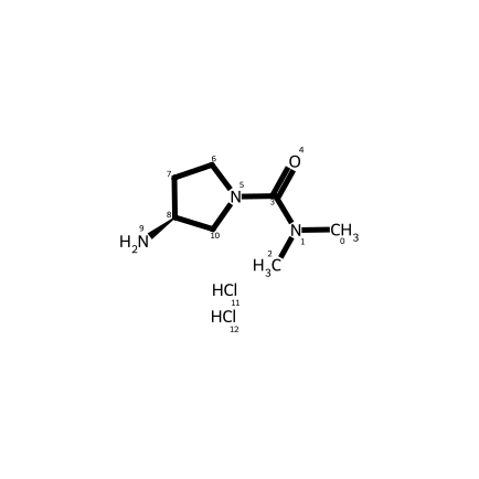 CN(C)C(=O)N1CC[C@H](N)C1.Cl.Cl